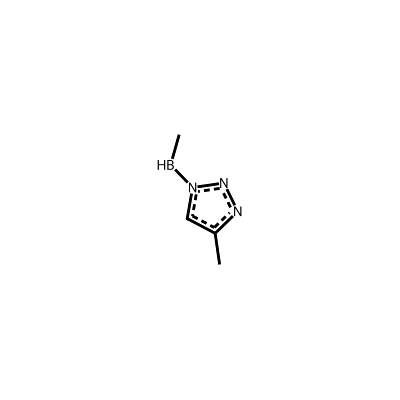 CBn1cc(C)nn1